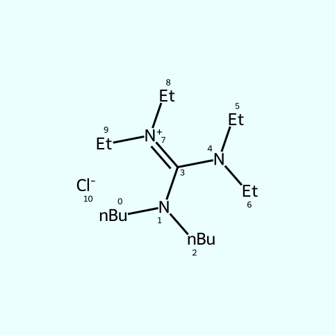 CCCCN(CCCC)C(N(CC)CC)=[N+](CC)CC.[Cl-]